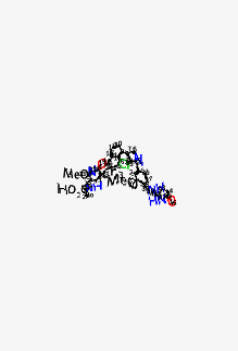 COc1cc(-c2nccc(-c3cccc4c3CCC[C@H]4Oc3nc(OC)c(CNC4(C(=O)O)CC4)cc3C(F)(F)F)c2Cl)ccc1CNC[C@@H]1CCC(=O)N1